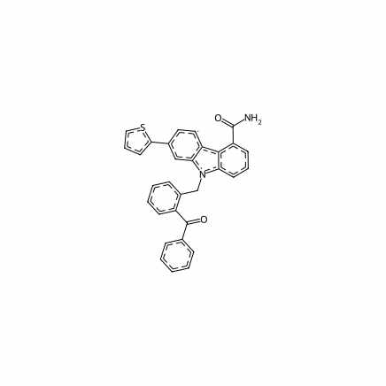 NC(=O)c1cccc2c1c1[c]cc(-c3cccs3)cc1n2Cc1ccccc1C(=O)c1ccccc1